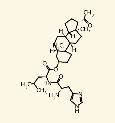 CC(=O)[C@H]1CC[C@H]2[C@@H]3CC[C@H]4C[C@H](OC(=O)[C@H](CC(C)C)NC(=O)[C@@H](N)Cc5c[nH]cn5)CC[C@]4(C)[C@H]3CC[C@]12C